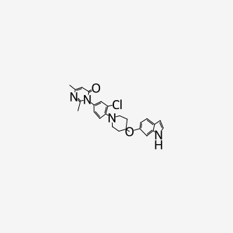 Cc1cc(=O)n(-c2ccc(N3CCC(Oc4ccc5cc[nH]c5c4)CC3)c(Cl)c2)c(C)n1